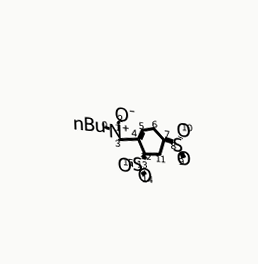 CCCC[N+]([O-])=CC1=CCC(=S(=O)=O)CC1=S(=O)=O